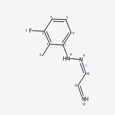 Cc1c(F)cccc1N/N=C\C=N